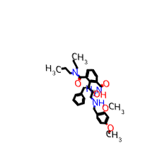 CCCN(CCC)C(=O)c1cccc(C(N)=O)c1[C@H](Cc1ccccc1)[C@@H](O)CNCc1ccc(OC)cc1OC